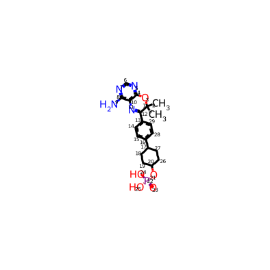 CC1(C)Oc2ncnc(N)c2N=C1c1ccc(C2CCC(OP(=O)(O)O)CC2)cc1